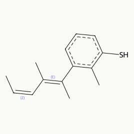 C/C=C\C(C)=C(/C)c1cccc(S)c1C